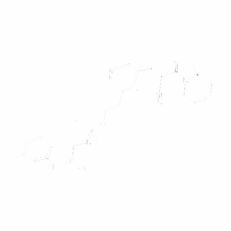 CC1(C)COCCN1C(=O)C(C#N)=Cc1cccc(CCOC(=O)N[C@@H](Cc2ccccc2)B(O)O)c1